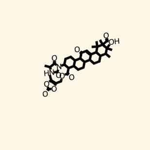 Cc1oc(=O)oc1COC(=O)C1C2CCC3C4CCC5C(C)C(C)(C)C(C)(C(=O)O)C(C)(C)C5C4=CC(=O)C3C2CCC1N1C(=O)NC(C)C1=O